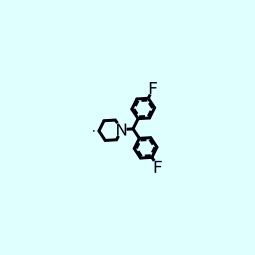 Fc1ccc(C(c2ccc(F)cc2)N2CC[CH]CC2)cc1